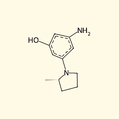 C[C@H]1CCCN1c1cc(N)cc(O)c1